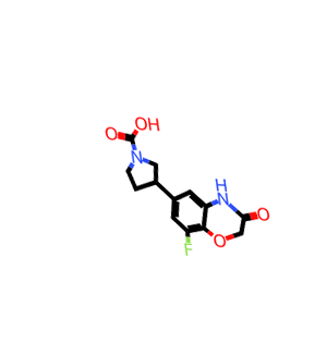 O=C1COc2c(F)cc(C3CCN(C(=O)O)C3)cc2N1